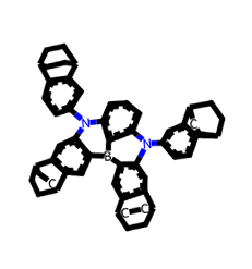 c1cc2c3c(c1)N(c1ccc4c(c1)C1CCC4CC1)c1cc4c(cc1B3c1cc3c(cc1N2c1ccc2c(c1)C1CCC2CC1)C1CCC3CC1)C1CCC4CC1